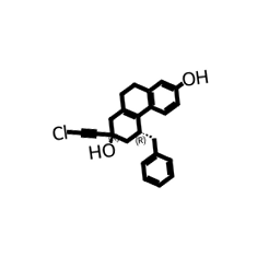 Oc1ccc2c(c1)CCC1=C2[C@H](Cc2ccccc2)C[C@](O)(C#CCl)C1